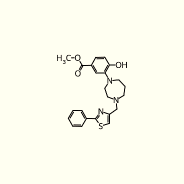 COC(=O)c1ccc(O)c(N2CCCN(Cc3csc(-c4ccccc4)n3)CC2)c1